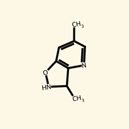 Cc1cnc2c(c1)ONC2C